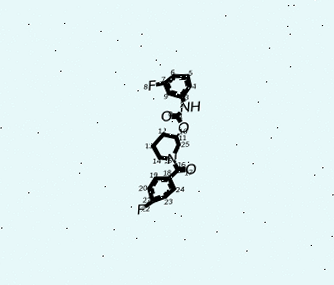 O=C(Nc1cccc(F)c1)O[C@H]1CCCN(C(=O)c2ccc(F)cc2)C1